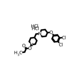 CCC(=O)ON1CCC(CN2CCC(Oc3ccc(Cl)c(Cl)c3)CC2)CC1.Cl.Cl